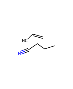 C=CC#N.CCCC#N